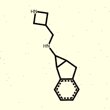 c1ccc2c(c1)CC1C(NCC3CNC3)C21